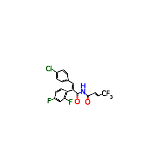 O=C(/C=C/C(F)(F)F)NC(=O)/C(=C/c1ccc(Cl)cc1)c1ccc(F)cc1F